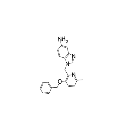 Cc1ccc(OCc2ccccc2)c(Cn2cnc3cc(N)ccc32)n1